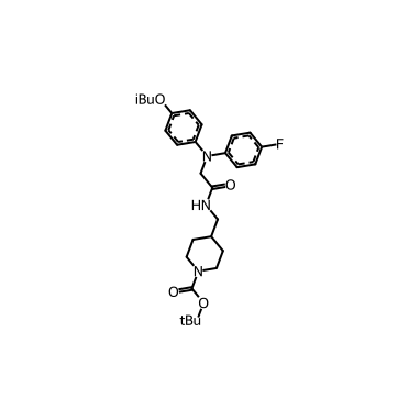 CC(C)COc1ccc(N(CC(=O)NCC2CCN(C(=O)OC(C)(C)C)CC2)c2ccc(F)cc2)cc1